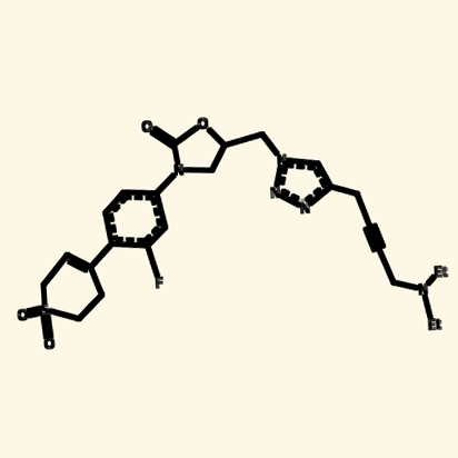 CCN(CC)CC#CCc1cn(CC2CN(c3ccc(C4=CCS(=O)(=O)CC4)c(F)c3)C(=O)O2)nn1